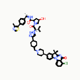 Cc1ncsc1-c1ccc([C@H](C)NC(=O)C2CC(O)CN2C(=O)[C@H](C(C)C)n2cc(C3CCC(CN4CCC(c5ccc6c(c5)C(C)(C)c5nc(=O)c7c(Cl)cccc7n5-6)CC4)CC3)nn2)cc1